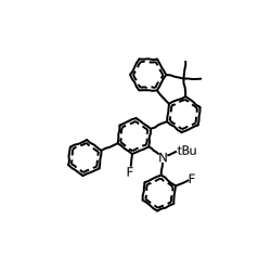 CC1(C)c2ccccc2-c2c(-c3ccc(-c4ccccc4)c(F)c3N(c3ccccc3F)C(C)(C)C)cccc21